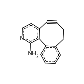 Nc1nccc2c1-c1ccccc1CCC#C2